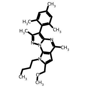 CCCCn1c(COC)cc2c(C)nc3c(-c4c(C)cc(C)cc4C)c(C)nn3c21